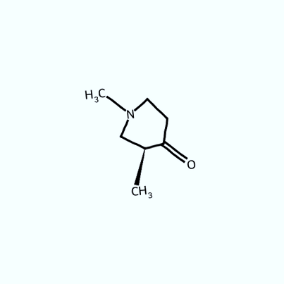 C[C@H]1CN(C)CCC1=O